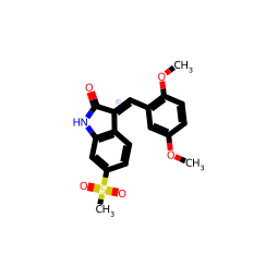 COc1ccc(OC)c(/C=C2/C(=O)Nc3cc(S(C)(=O)=O)ccc32)c1